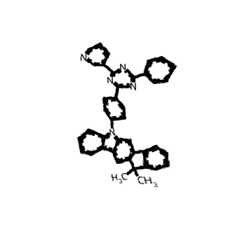 CC1(C)c2ccccc2-c2cc3c(cc21)c1ccccc1n3-c1ccc(-c2nc(-c3ccccc3)nc(-c3cccnc3)n2)cc1